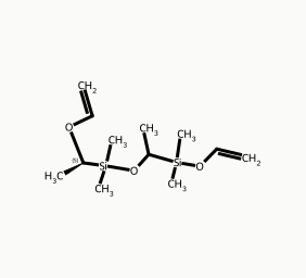 C=CO[C@H](C)[Si](C)(C)OC(C)[Si](C)(C)OC=C